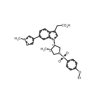 CCOc1ccc(S(=O)(=O)N2C[C@@H](C)[C@@H](n3cc(CC(=O)O)c4ccc(-c5cnn(C)c5)cc43)C2)cc1